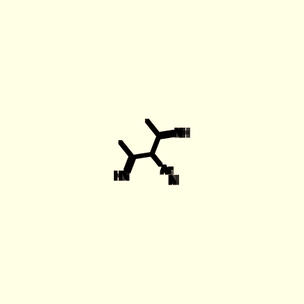 CC(=N)C(C(C)=N)C(C)=O.[Ni]